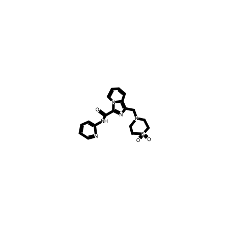 O=C(Nc1ccccn1)c1nc(CN2CCS(=O)(=O)CC2)c2ccccn12